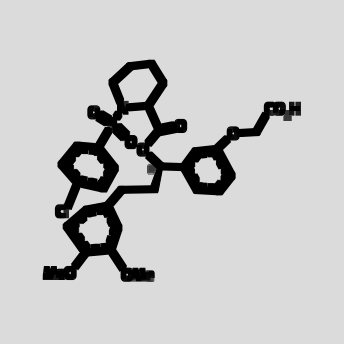 COc1ccc(CC[C@@H](OC(=O)C2CCCCN2S(=O)(=O)c2ccc(Cl)cc2)c2cccc(OCC(=O)O)c2)cc1OC